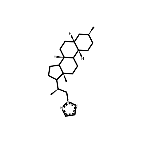 C[C@H]1CC[C@@H]2C3CC[C@@]4(C)C(CCC4[C@H](C)Cn4nccn4)[C@@H]3CC[C@@H]2C1